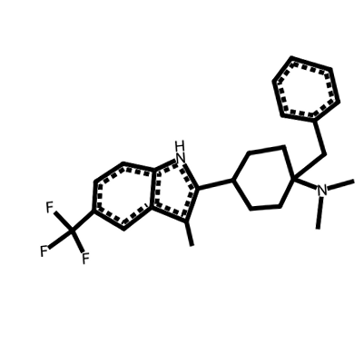 Cc1c(C2CCC(Cc3ccccc3)(N(C)C)CC2)[nH]c2ccc(C(F)(F)F)cc12